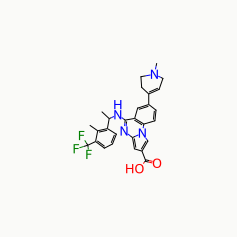 Cc1c(C(C)Nc2nc3cc(C(=O)O)cn3c3ccc(C4=CCN(C)CC4)cc23)cccc1C(F)(F)F